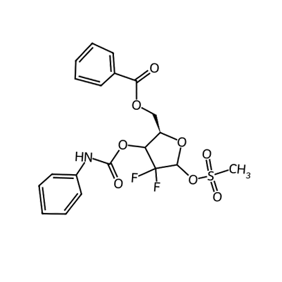 CS(=O)(=O)OC1O[C@H](COC(=O)c2ccccc2)C(OC(=O)Nc2ccccc2)C1(F)F